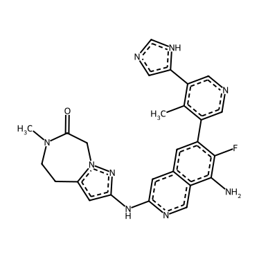 Cc1c(-c2cnc[nH]2)cncc1-c1cc2cc(Nc3cc4n(n3)CC(=O)N(C)CC4)ncc2c(N)c1F